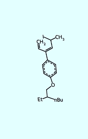 C=C/C(=C\C(C)I)c1ccc(OCC(CC)CCCC)cc1